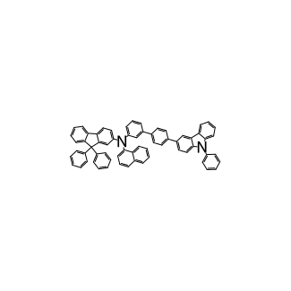 c1ccc(-n2c3ccccc3c3cc(-c4ccc(-c5cccc(N(c6ccc7c(c6)C(c6ccccc6)(c6ccccc6)c6ccccc6-7)c6cccc7ccccc67)c5)cc4)ccc32)cc1